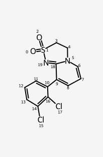 O=S1(=O)CCN2C=CC=C(c3cccc(Cl)c3Cl)C2=N1